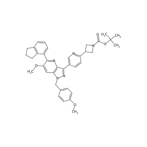 COc1ccc(Cn2nc(-c3ccc(C4CN(C(=O)OC(C)(C)C)C4)nc3)c3nc(-c4cccc5c4CCC5)c(OC)cc32)cc1